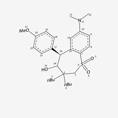 CCCCC1(CCCC)CS(=O)(=O)c2ccc(N(C)C)cc2[C@H](c2ccc(OC)cc2)C1O